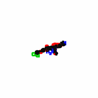 C=C(C)O/C(C)=C(\N)C(=O)N1Cc2cc3c(cc2C[C@H]1C(=O)N[C@@H](Cc1ccc(-c2ccnc(C)c2C)cc1)C(=O)O)OC[C@H](c1ccc(OCc2ccc(Cl)c(Cl)c2)cc1)O3